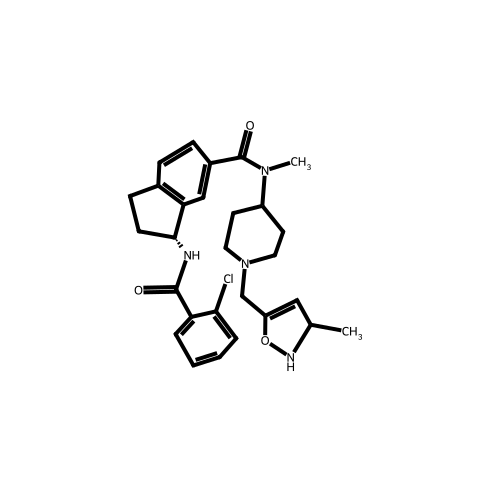 CC1C=C(CN2CCC(N(C)C(=O)c3ccc4c(c3)[C@H](NC(=O)c3ccccc3Cl)CC4)CC2)ON1